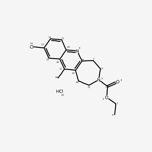 CCOC(=O)N1CCc2nc3ccc(Cl)cc3c(C)c2CC1.Cl